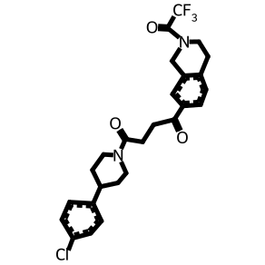 O=C(CCC(=O)N1CCC(c2ccc(Cl)cc2)CC1)c1ccc2c(c1)CN(C(=O)C(F)(F)F)CC2